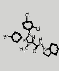 C[C@@H]1C(C(=O)NN2CCc3ccccc32)=NN(c2ccc(Cl)cc2Cl)[C@H]1c1ccc(Br)cc1